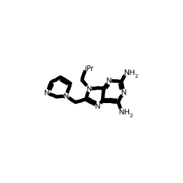 CC(C)Cn1c(CN2C=CC=NC2)nc2c(N)nc(N)nc21